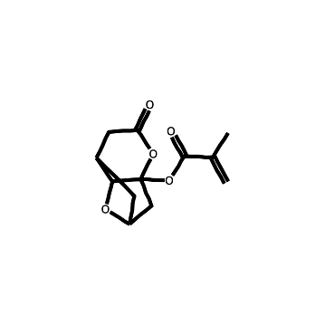 C=C(C)C(=O)OC12CC3CC(CC(=O)O1)C2O3